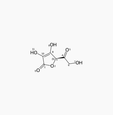 O=C1O[C@H](C(=O)CO)C(O)=C1O